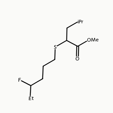 CCC(F)CCCSC(CC(C)C)C(=O)OC